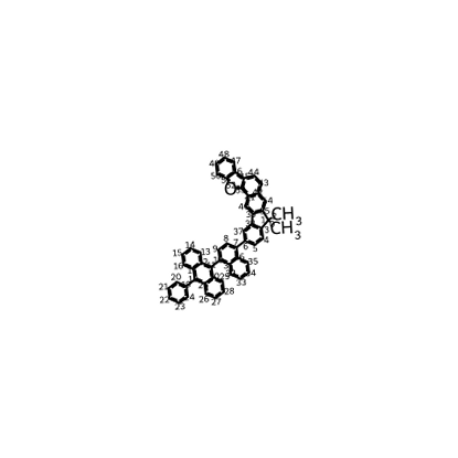 CC1(C)c2ccc(-c3ccc(-c4c5ccccc5c(-c5ccccc5)c5ccccc45)c4ccccc34)cc2-c2cc3c(ccc4c5ccccc5oc34)cc21